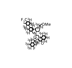 [2H]c1c([2H])c(F)c(F)c(C([2H])([2H])Sc2c([2H])c(=O)c3c([2H])c([2H])c([2H])c([2H])c3n2CC(=O)N(Cc2c([2H])c([2H])c(-c3c([2H])c([2H])c(C(F)(F)F)c(C)c3[2H])c([2H])c2[2H])C2CCN(C([2H])([2H])COC)CC2)c1[2H]